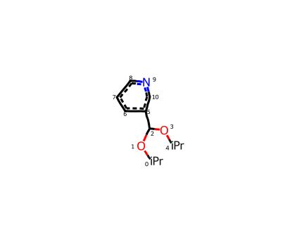 CC(C)OC(OC(C)C)c1cccnc1